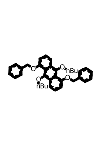 CCCCOc1c2cccc(OCc3ccccc3)c2c(OCCCC)c2cccc(OCc3ccccc3)c12